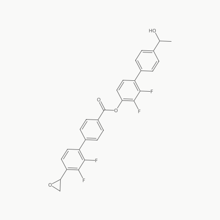 CC(O)c1ccc(-c2ccc(OC(=O)c3ccc(-c4ccc(C5CO5)c(F)c4F)cc3)c(F)c2F)cc1